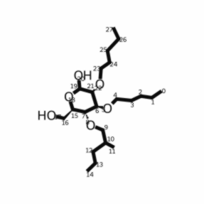 CCCCCO[C@H]1[C@H](OCC(C)CCC)[C@@H](CO)OC(O)[C@@H]1OCCCCC